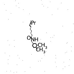 Cc1ccc(CNC(=O)CCCC/C=C/C(C)C)cc1C